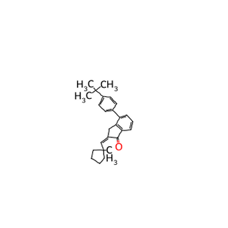 CC1(/C=C2/Cc3c(cccc3-c3ccc(C(C)(C)C)cc3)C2=O)CCCC1